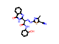 Cc1nc(N=NC(C(=O)Nc2ccccc2O)c2nc3ccccc3c(=O)[nH]2)sc1C#N